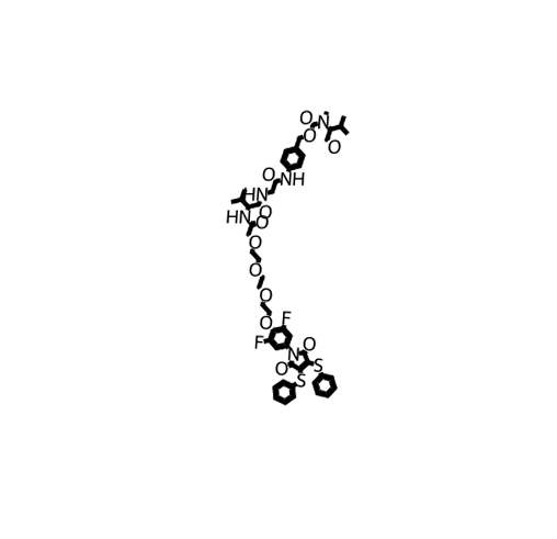 CC(C)C(NC(=O)COCCOCCOCCOc1c(F)cc(N2C(=O)C(Sc3ccccc3)=C(Sc3ccccc3)C2=O)cc1F)C(=O)NCC(=O)Nc1ccc(COC(=O)N(C)C(C=O)C(C)C)cc1